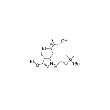 CCOc1nn([C@@H](C)CO[Si](C)(C)C(C)(C)C)c(CN(CC)[C@@H](C)CO)c1I